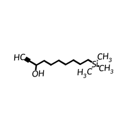 C#CC(O)CCCCCCC[Si](C)(C)C